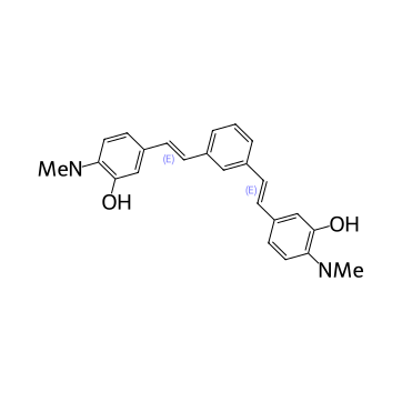 CNc1ccc(/C=C/c2cccc(/C=C/c3ccc(NC)c(O)c3)c2)cc1O